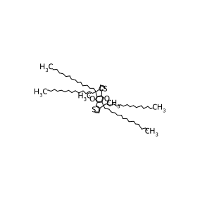 CCCCCCCCCCCCCCCC1(CCCCCCCCCCCCCCC)c2ccsc2-c2c(OC)c3c(c(OC)c21)-c1sccc1C3(CCCCCCCCCCCCCCC)CCCCCCCCCCCCCCC